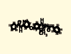 COc1cc(Oc2ccnc(NC(=O)N3CCCC3)c2)ccc1NC(=S)NC(=O)Cc1ccccc1